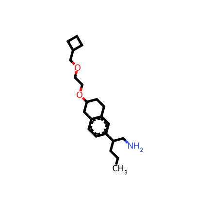 CCCC(CN)c1ccc2c(c1)CCC(OCCOCC1CCC1)C2